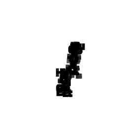 CCOC(OCC)c1ccc(Nc2cc(C)cc(N3CCN(C(=O)OC(C)(C)C)CC3)c2)cn1